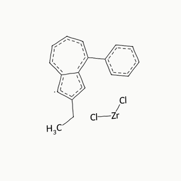 CCc1[c]c2ccccc(-c3ccccc3)c-2c1.[Cl][Zr][Cl]